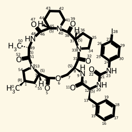 C[C@@H]1C[C@H]2C(=O)OC[C@H](NC(=O)[C@H](Cc3ccccc3)NC(=O)Nc3ccc(I)cc3)C(=O)N3CCC[C@H]3C(=O)N3CCCC[C@H]3C(=O)N[C@@H](C)C(=O)N2C1